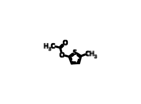 CC(=O)Oc1ccc(C)s1